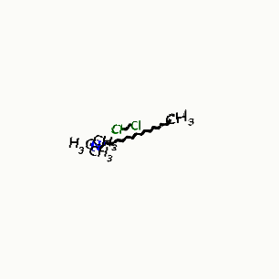 CCCCCCCCCCCCCCCC[N+](C)(C)C.ClCCCl